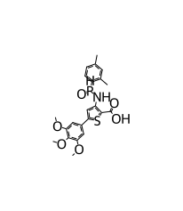 COc1cc(-c2cc(N[PH](=O)c3ccc(C)cc3C)c(C(=O)O)s2)cc(OC)c1OC